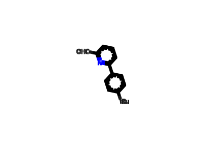 CC(C)(C)c1ccc(-c2cccc(C=O)n2)cc1